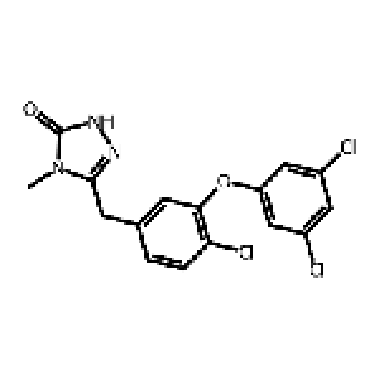 Cn1c(Cc2ccc(Cl)c(Oc3cc(Cl)cc(Cl)c3)c2)n[nH]c1=O